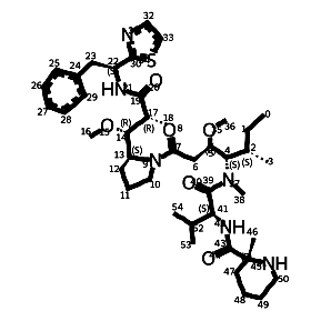 CC[C@H](C)[C@@H]([C@@H](CC(=O)N1CCC[C@H]1[C@H](OC)[C@@H](C)C(=O)N[C@@H](Cc1ccccc1)c1nccs1)OC)N(C)C(=O)[C@@H](NC(=O)[C@@]1(C)CCCCN1)C(C)C